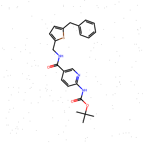 CC(C)(C)OC(=O)Nc1ccc(C(=O)NCc2ccc(Cc3ccccc3)s2)cn1